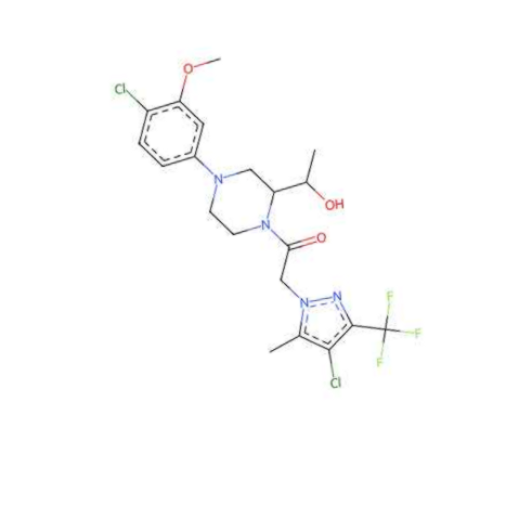 COc1cc(N2CCN(C(=O)Cn3nc(C(F)(F)F)c(Cl)c3C)C(C(C)O)C2)ccc1Cl